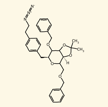 CC1(C)OC2C(OCc3ccccc3)[C@H](Cc3ccc(CCN=[N+]=[N-])cc3)OC(COCc3ccccc3)[C@@H]2O1